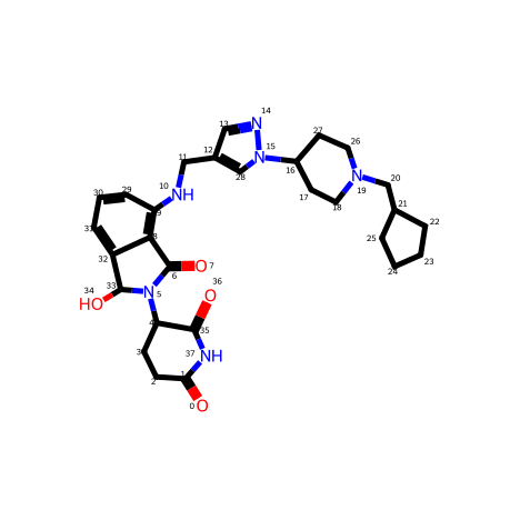 O=C1CCC(N2C(=O)c3c(NCc4cnn(C5CCN(CC6CCCC6)CC5)c4)cccc3C2O)C(=O)N1